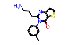 Cc1cccc(-n2c(CCCN)nc3ccsc3c2=O)c1